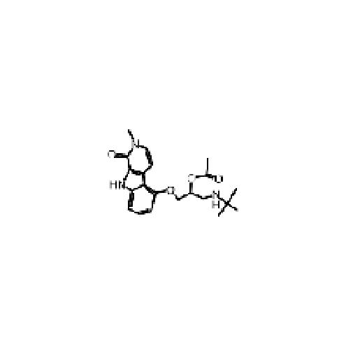 CC(=O)OC(CNC(C)(C)C)COc1cccc2[nH]c3c(=O)n(C)ccc3c12